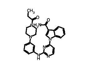 CCC(=O)N1CCN(c2cccc(Nc3nccc(-n4cc(C(N)=O)c5ccccc54)n3)c2)CC1